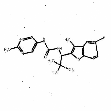 Cc1c([C@H](NC(=O)Nc2cnc(N)nc2)C(C)(C)C)oc2ccc(F)cc12